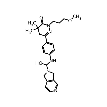 COCCCN1N=C(c2ccc(NC(O)N3Cc4ccncc4C3)cc2)CC(C)(C)C1=O